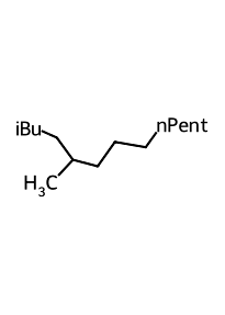 CCCCCCCCC(C)CC(C)CC